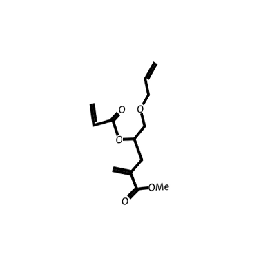 C=CCOCC(CC(=C)C(=O)OC)OC(=O)C=C